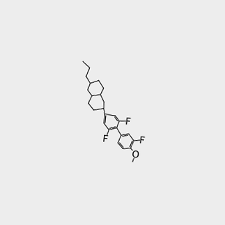 CCCC1CCC2CC(c3cc(F)c(-c4ccc(OC)c(F)c4)c(F)c3)CCC2C1